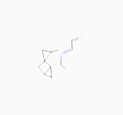 C=C/C=N/C(C)[C@]12CC1CC21CC1C